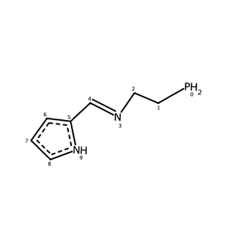 PCC/N=C/c1ccc[nH]1